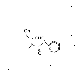 CN(CCO)C(=O)N([C]=O)c1ccccc1